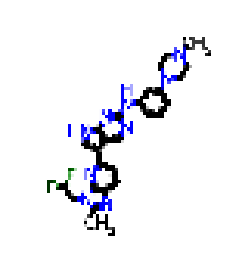 Cc1nc2ccc(-c3c[nH]c4nc(Nc5cccc(N6CCN(C)CC6)c5)ncc34)nc2n1CC(F)F